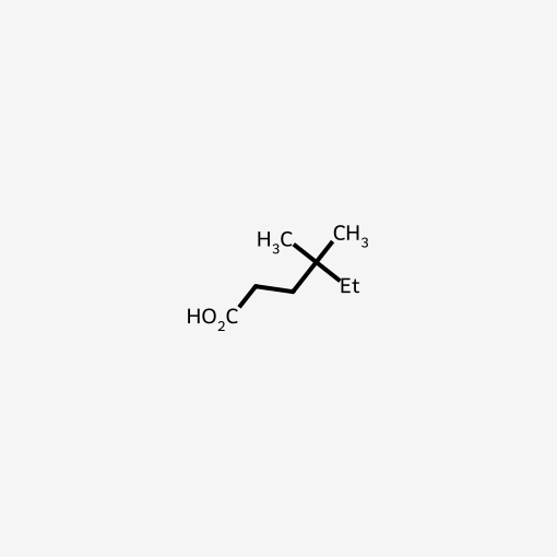 CCC(C)(C)CCC(=O)O